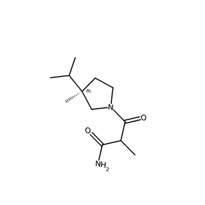 CC(C(N)=O)C(=O)N1CC[C@](C)(C(C)C)C1